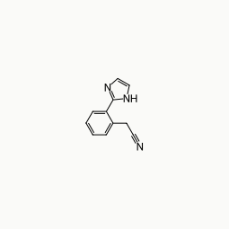 N#CCc1ccccc1-c1ncc[nH]1